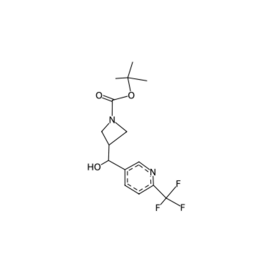 CC(C)(C)OC(=O)N1CC(C(O)c2ccc(C(F)(F)F)nc2)C1